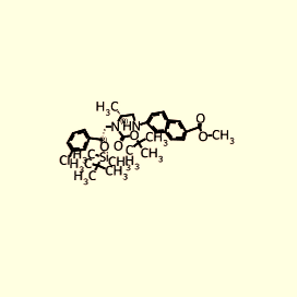 COC(=O)c1ccc2cc(NC[C@@H](C)N(C[C@H](O[Si](C)(C)C(C)(C)C)c3cccc(Cl)c3)C(=O)OC(C)(C)C)ccc2c1